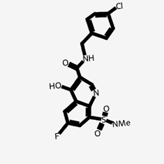 CNS(=O)(=O)c1cc(F)cc2c(O)c(C(=O)NCc3ccc(Cl)cc3)cnc12